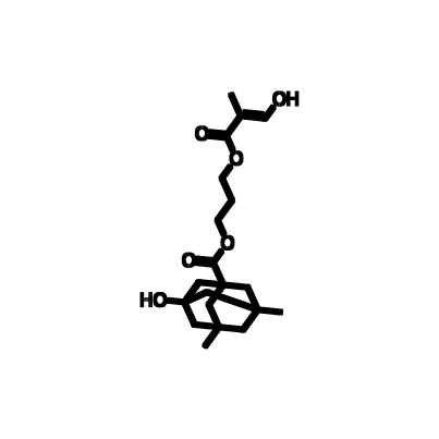 CC(=CO)C(=O)OCCCOC(=O)C12CC3(C)CC(C)(CC(O)(C3)C1)C2